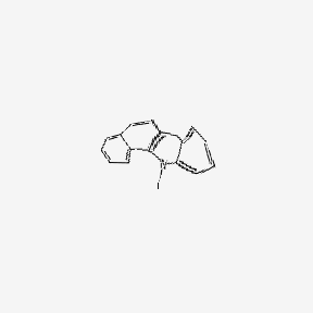 In1c2ccccc2c2ccc3ccccc3c21